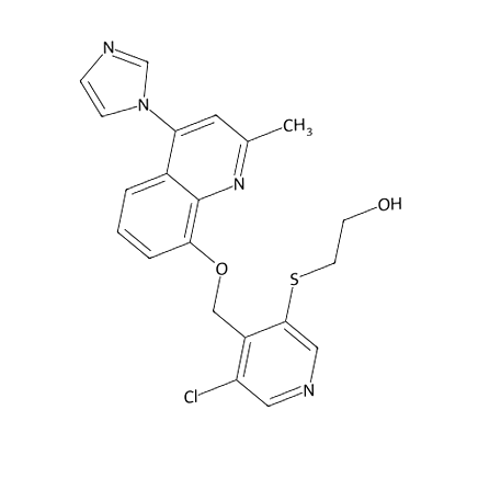 Cc1cc(-n2ccnc2)c2cccc(OCc3c(Cl)cncc3SCCO)c2n1